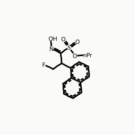 CCCOS(=O)(=O)C(=NO)C(CF)c1cccc2ccccc12